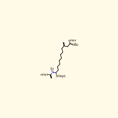 C=C(CCCCCCCCC(CCCCCCC)N(CC)C(=C)CCCCCC)CC(CCCC)CCCCCC